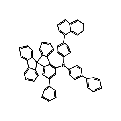 c1ccc(-c2ccc(N(c3ccc(-c4cccc5ccccc45)cc3)c3cc(-c4ccccc4)cc4c3-c3ccccc3C43c4ccccc4-c4ccccc43)cc2)cc1